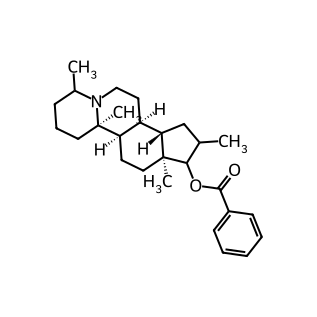 CC1C[C@H]2[C@@H]3CCN4C(C)CCC[C@]4(C)[C@@H]3CC[C@]2(C)C1OC(=O)c1ccccc1